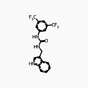 O=C(NCc1c[nH]c2ccccc12)Nc1cc(C(F)(F)F)cc(C(F)(F)F)c1